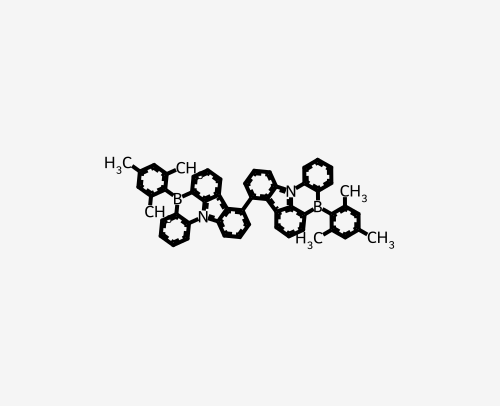 Cc1cc(C)c(B2c3ccccc3-n3c4cccc(-c5cccc6c5c5cccc7c5n6-c5ccccc5B7c5c(C)cc(C)cc5C)c4c4cccc2c43)c(C)c1